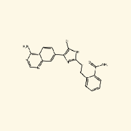 NC(=O)c1ccccc1C[CH]c1nc(-c2ccc3c(N)ncnc3c2)c(Cl)[nH]1